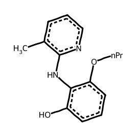 CCCOc1cccc(O)c1Nc1ncccc1C